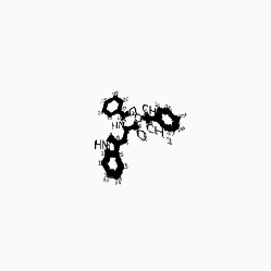 CC(C)(OC(=O)C(Cc1c[nH]c2ccccc12)NC(=O)C1CCCCC1)c1ccccc1